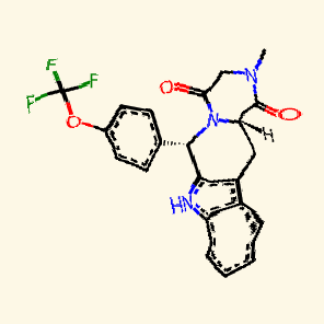 CN1CC(=O)N2[C@@H](c3ccc(OC(F)(F)F)cc3)c3[nH]c4ccccc4c3C[C@H]2C1=O